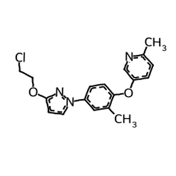 Cc1ccc(Oc2ccc(-n3ccc(OCCCl)n3)cc2C)cn1